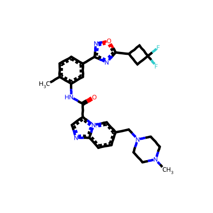 Cc1ccc(-c2noc(C3CC(F)(F)C3)n2)cc1NC(=O)c1cnc2ccc(CN3CCN(C)CC3)cn12